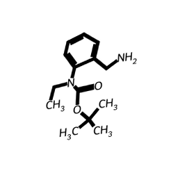 CCN(C(=O)OC(C)(C)C)c1ccccc1CN